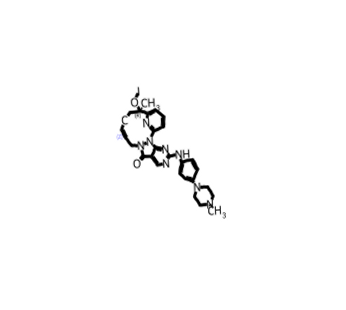 CN1CCN(c2ccc(Nc3ncc4c(=O)n5n(c4n3)-c3cccc(n3)[C@](C)(OI)CC/C=C\C5)cc2)CC1